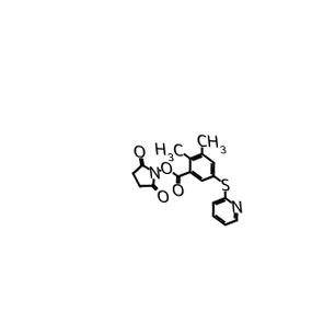 Cc1cc(Sc2ccccn2)cc(C(=O)ON2C(=O)CCC2=O)c1C